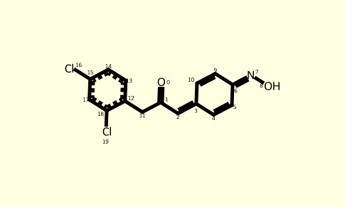 O=C(C=C1C=CC(=NO)C=C1)Cc1ccc(Cl)cc1Cl